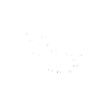 CO[C@H]1[C@H](OC2CC(C)C(O)C(C)(OC)C2)c2c(cc3c(c2O)C(=O)c2c(O)cc(CO)cc2C3=O)C[C@@]1(C)O